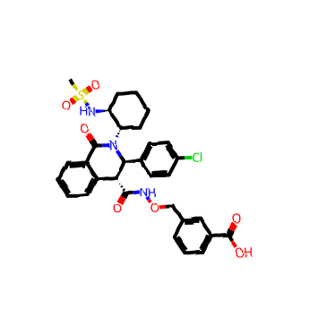 CS(=O)(=O)N[C@H]1CCCC[C@@H]1N1C(=O)c2ccccc2[C@@H](C(=O)NOCc2cccc(C(=O)O)c2)[C@@H]1c1ccc(Cl)cc1